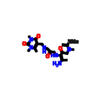 C=C(NC)N(C)CC(=O)/C(NCC(=O)CNCc1c(C)n(C)c(=O)n(C)c1=O)=C(\C)N